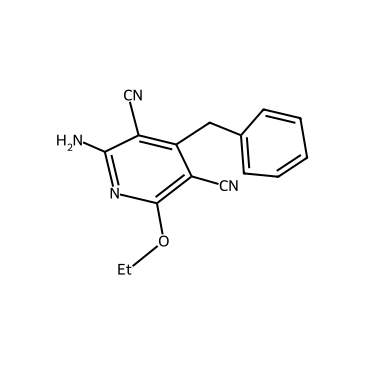 CCOc1nc(N)c(C#N)c(Cc2ccccc2)c1C#N